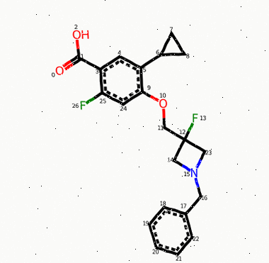 O=C(O)c1cc(C2CC2)c(OCC2(F)CN(Cc3ccccc3)C2)cc1F